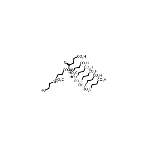 COC(=O)CCC(=O)O.O=C(O)CCC(=O)O.O=C(O)CCC(=O)O.O=C(O)CCC(=O)O.O=C(O)CCC(=O)O.O=C(O)CCC(=O)O.O=C(O)CCC(=O)O.OCCO